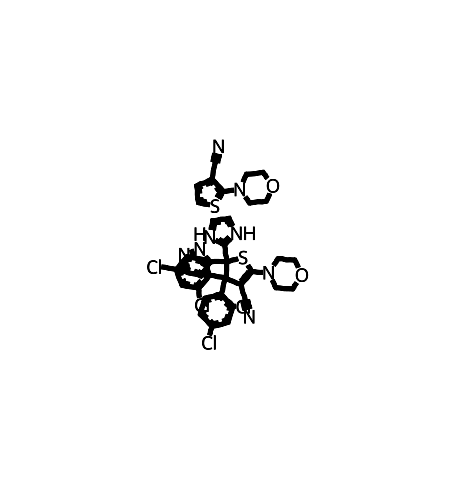 N#CC1=C(N2CCOCC2)SC(c2ccn[nH]2)(c2ncc[nH]2)C1(c1ccc(Cl)cc1Cl)c1ccc(Cl)cc1Cl.N#Cc1ccsc1N1CCOCC1